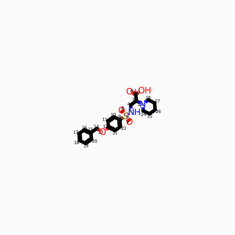 O=C(O)C(CNS(=O)(=O)c1ccc(OCc2ccccc2)cc1)N1CCCCC1